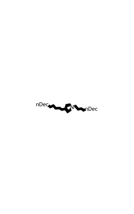 CCCCCCCCCCCCCCCc1cc[n+](CCCCCCCCCCCCCC)cc1